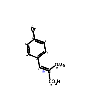 CO/C(=C\c1ccc(Br)cc1)C(=O)O